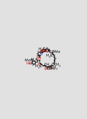 COC1CC(CC(C)[C@@H]2CC(=O)C(C)/C=C(\C)[C@@H](O)C(OC)C(=O)C(C)CC(C)/C=C/C=C/C=C(\C)[C@@H](OC)C[C@@H]3CCC(C)C(O)(O3)C(=O)C(=O)N3CCCCC3C(=O)O2)CC[C@H]1O